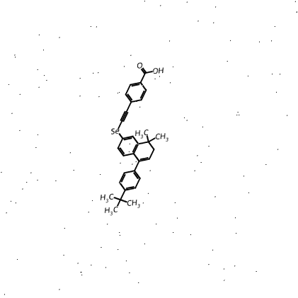 CC(C)(C)c1ccc(C2=CCC(C)(C)c3cc([Se]C#Cc4ccc(C(=O)O)cc4)ccc32)cc1